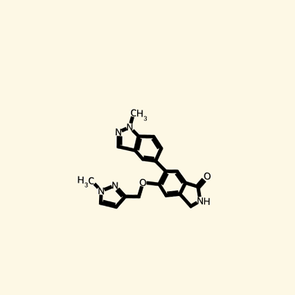 Cn1ccc(COc2cc3c(cc2-c2ccc4c(cnn4C)c2)C(=O)NC3)n1